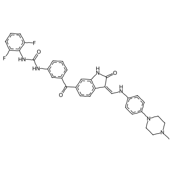 CN1CCN(c2ccc(NC=C3C(=O)Nc4cc(C(=O)c5cccc(NC(=O)Nc6c(F)cccc6F)c5)ccc43)cc2)CC1